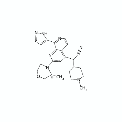 C[C@@H]1COCCN1c1cc(C(C#N)C2CCN(C)CC2)c2ccnc(-c3ccn[nH]3)c2n1